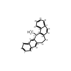 CN1c2cc3ccccc3cc2CCc2ccc3ccccc3c21